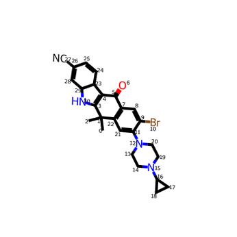 CC1(C)C2=C(C(=O)c3cc(Br)c(N4CCN(C5CC5)CC4)cc31)C1C=CC(C#N)=CC1N2